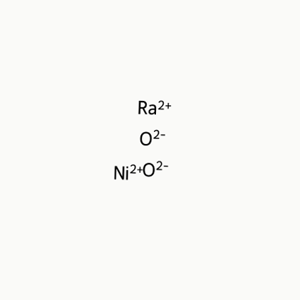 [Ni+2].[O-2].[O-2].[Ra+2]